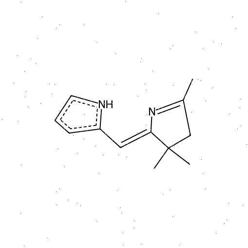 CC1=N/C(=C\c2ccc[nH]2)C(C)(C)C1